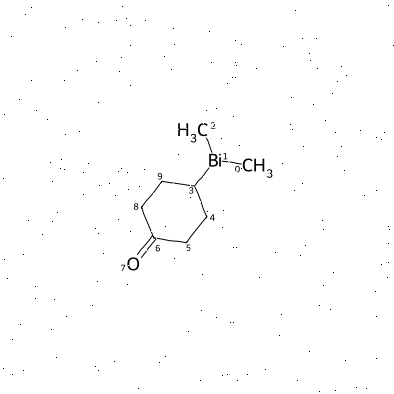 [CH3][Bi]([CH3])[CH]1CCC(=O)CC1